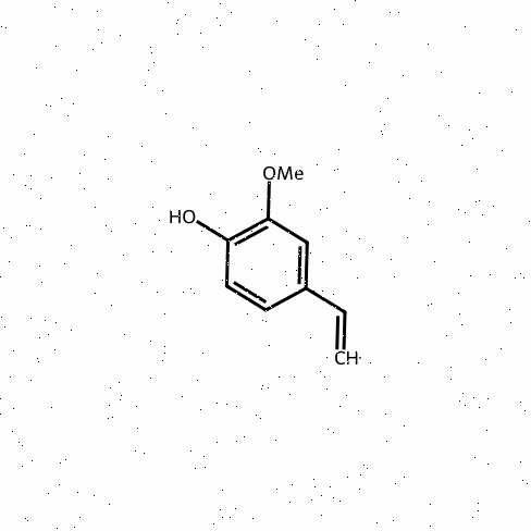 [CH]=Cc1ccc(O)c(OC)c1